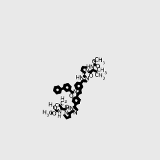 COC(=O)NC(C(=O)N1CCC[C@H]1c1ncc(-c2ccc3c(c2)cc2n3C(c3cccc(-c4ccccc4)c3)Oc3cc(-c4cnc(C5CCCN5C(=O)[C@@H](NC(=O)OC)C(C)C)[nH]4)ccc3-2)[nH]1)C(C)C